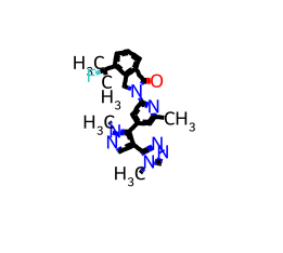 Cc1cc(-c2c(-c3nncn3C)cnn2C)cc(N2Cc3c(cccc3C(C)(C)F)C2=O)n1